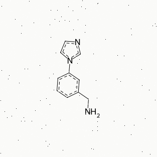 NCc1cccc(-n2ccnc2)c1